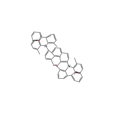 Cc1cccc(C)c1N(c1c(C)cccc1-c1ccccc1)c1ccc2ccc3c(N(c4c(C)cccc4C)c4c(C)cccc4-c4ccccc4)ccc4ccc1c2c43